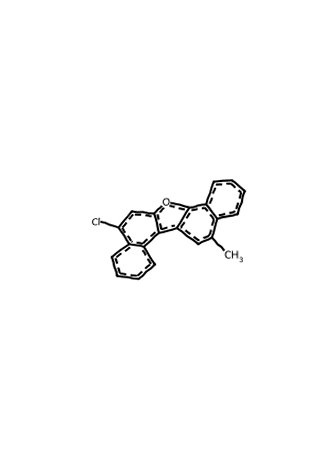 Cc1cc2c(oc3cc(Cl)c4ccccc4c32)c2ccccc12